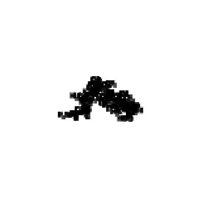 CC1COc2ccccc2N1C(=O)C(Cl)Cl.CCNc1nc(Cl)nc(NC(C)(C)C)n1.CCOC(=O)C(Cl)Cc1cc(-n2nc(C)n(C(F)F)c2=O)c(F)cc1Cl.CCc1cccc(C)c1N(C(=O)CCl)C(C)COC.O=C(O)CNCP(=O)(O)O